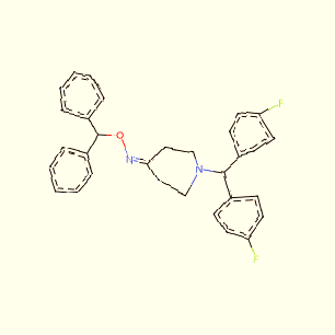 Fc1ccc(C(c2ccc(F)cc2)N2CCC(=NOC(c3ccccc3)c3ccccc3)CC2)cc1